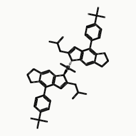 CC(C)CC1=Cc2c(cc3c(c2-c2ccc(C(C)(C)C)cc2)CCC3)[C@@H]1[Si](C)(C)[C@H]1C(CC(C)C)=Cc2c1cc1c(c2-c2ccc(C(C)(C)C)cc2)CCC1